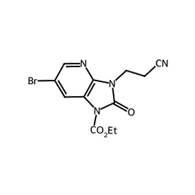 CCOC(=O)n1c(=O)n(CCC#N)c2ncc(Br)cc21